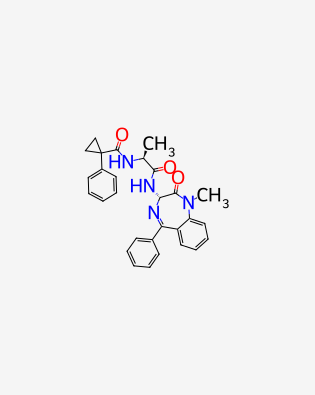 C[C@H](NC(=O)C1(c2ccccc2)CC1)C(=O)N[C@H]1N=C(c2ccccc2)c2ccccc2N(C)C1=O